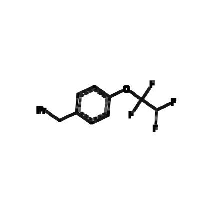 CC(C)Cc1ccc(OC(F)(F)C(F)F)cc1